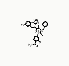 NC(=O)c1ccc(NC(=O)[C@H](Cc2ccccc2)NC(=O)C=Cc2cc(Cl)ccc2-n2cnnn2)cc1F